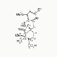 CSc1cc(Cl)nc(C[C@]2(C(=O)O)CCN(C(=O)O)[C@@](C)(C(C)(C)C)C2C(C)(C)C)c1F